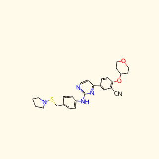 N#Cc1cc(-c2ccnc(Nc3ccc(CSN4CCCC4)cc3)n2)ccc1OC1CCOCC1